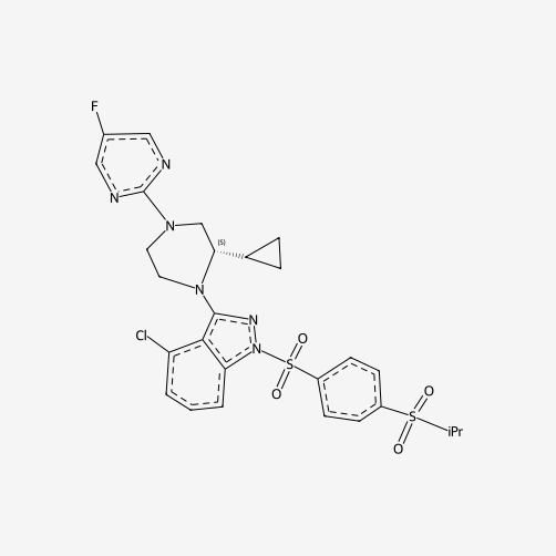 CC(C)S(=O)(=O)c1ccc(S(=O)(=O)n2nc(N3CCN(c4ncc(F)cn4)C[C@@H]3C3CC3)c3c(Cl)cccc32)cc1